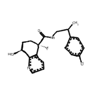 CC(CNC(=O)[C@]1(F)CC[C@H](O)c2ncccc21)c1ccc(Cl)cc1